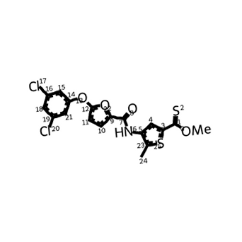 COC(=S)c1cc(NC(=O)c2ccc(Oc3cc(Cl)cc(Cl)c3)o2)c(C)s1